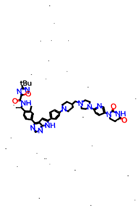 Cc1cc(-c2ncnc3[nH]c(-c4ccc(N5CCC(CN6CCN(c7ccc(N8CCC(=O)NC8=O)cn7)CC6)CC5)cc4)cc23)ccc1[C@@H](C)NC(=O)c1nc(C(C)(C)C)no1